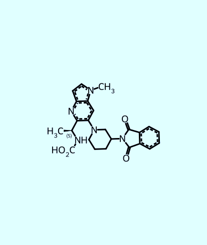 C[C@H](NC(=O)O)c1nc2ccn(C)c2cc1N1CCCC(N2C(=O)c3ccccc3C2=O)C1